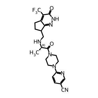 C[C@@H](NCC1CCc2c1n[nH]c(=O)c2C(F)(F)F)C(=O)N1CCN(c2ccc(C#N)cn2)CC1